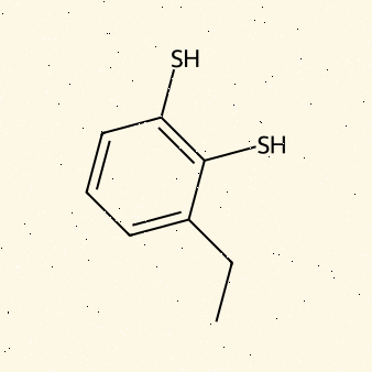 CCc1cccc(S)c1S